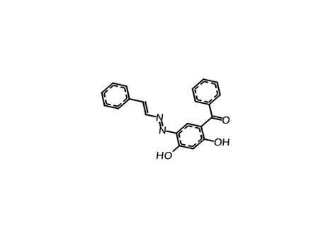 O=C(c1ccccc1)c1cc(N=NC=Cc2ccccc2)c(O)cc1O